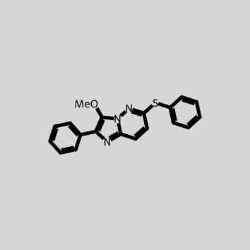 COc1c(-c2ccccc2)nc2ccc(Sc3ccccc3)nn12